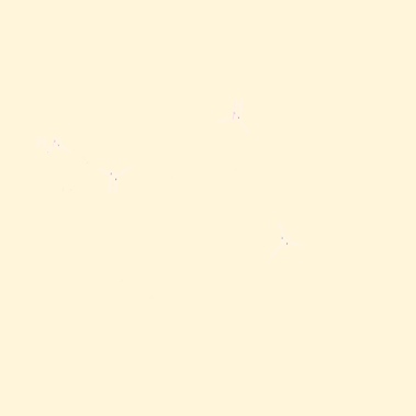 CCN(CC)CCc1c[nH]c2ccc(NS(N)(=O)=O)cc12.c1ccc(-c2ccccc2)cc1